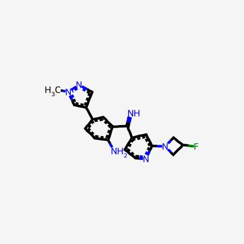 Cn1cc(-c2ccc(N)c(C(=N)c3ccnc(N4CC(F)C4)c3)c2)cn1